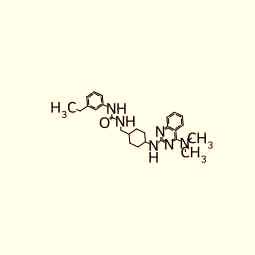 CCc1cccc(NC(=O)NCC2CCC(Nc3nc(N(C)C)c4ccccc4n3)CC2)c1